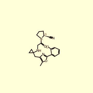 Cc1oc(-c2ccccc2Cl)nc1CC1(NCC(=O)N2CCC[C@H]2C#N)CC1